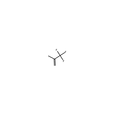 C=C(I)C(F)(F)F